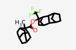 CC1(C(=O)OC2(C(F)(F)F)CC3CC2C2C4CCC(C4)C32)C2CC3CC(C2)CC1C3